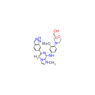 C=C(/N=C(/Nc1ccc(N2CCO[C@H](CO)C2)c(OC)c1)c1nccn1C)c1ccc2cn[nH]c2c1